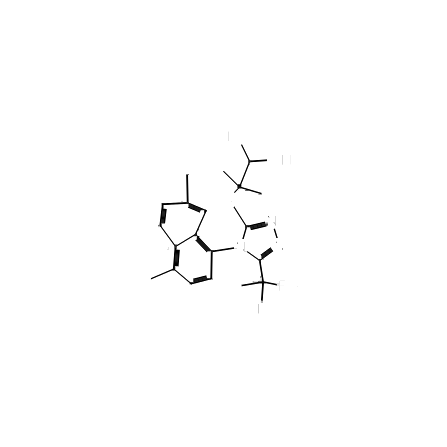 Cc1ccc2c(C)ccc(-n3c(SC(C)(C)C(O)O)nnc3C(F)(F)F)c2c1